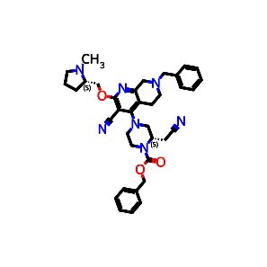 CN1CCC[C@H]1COc1nc2c(c(N3CCN(C(=O)OCc4ccccc4)[C@@H](CC#N)C3)c1C#N)CCN(Cc1ccccc1)C2